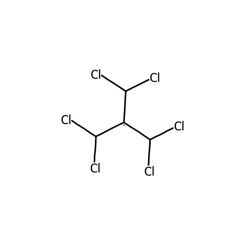 ClC(Cl)[C](C(Cl)Cl)C(Cl)Cl